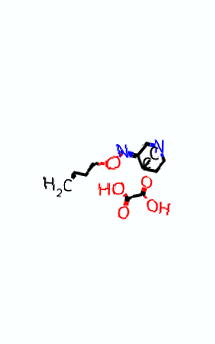 C=CCCON=C1CN2CCC1CC2.O=C(O)C(=O)O